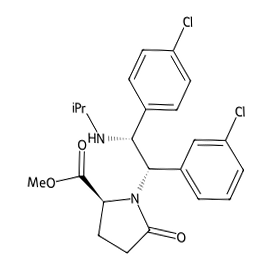 COC(=O)[C@@H]1CCC(=O)N1[C@@H](c1cccc(Cl)c1)[C@H](NC(C)C)c1ccc(Cl)cc1